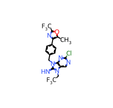 Cc1oc(C(F)(F)F)nc1-c1ccc(Cn2c(=N)n(CC(F)(F)F)c3cnc(Cl)nc32)cc1